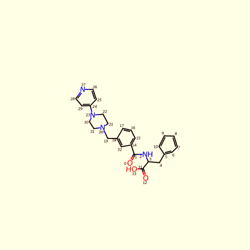 O=C(NC(Cc1ccccc1)C(=O)O)c1cccc(CN2CCN(c3ccncc3)CC2)c1